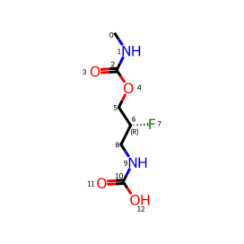 CNC(=O)OC[C@H](F)CNC(=O)O